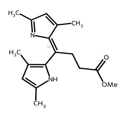 COC(=O)CC/C(=C1/N=C(C)C=C1C)c1[nH]c(C)cc1C